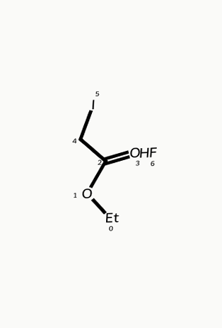 CCOC(=O)CI.F